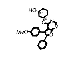 COc1ccc(-c2c(-c3ccccc3)oc3ncnc(O[C@H]4CCC[C@@H](O)C4)c23)cc1